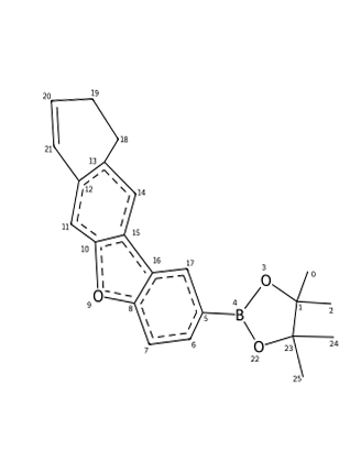 CC1(C)OB(c2ccc3oc4cc5c(cc4c3c2)CCC=C5)OC1(C)C